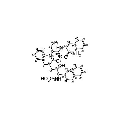 CC(C)C[C@H](NC(=O)[C@H](Cc1ccccc1)C[C@@H](O)[C@@H](NC(=O)O)c1ccc2ccccc2c1)C(=O)N[C@@H](Cc1ccccc1)C(N)=O